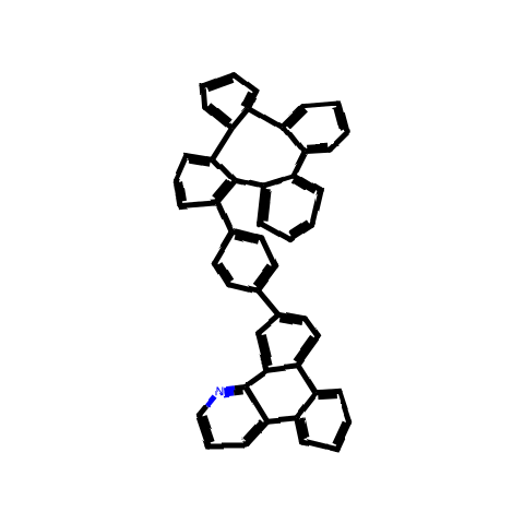 c1ccc2c(c1)-c1ccccc1-c1cccc(-c3ccc(-c4ccc5c6ccccc6c6cccnc6c5c4)cc3)c1-c1ccccc1-2